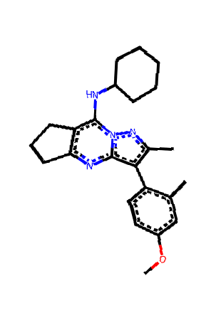 COc1ccc(-c2c(C)nn3c(NC4CCCCC4)c4c(nc23)CCC4)c(C)c1